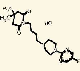 CC1(C)CC(=O)N(CCCCN2CCN(c3ncc(F)cn3)CC2)C(=O)C1.Cl